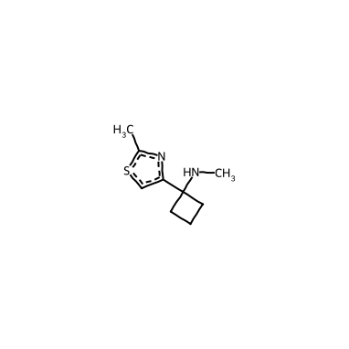 CNC1(c2csc(C)n2)CCC1